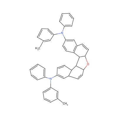 Cc1cccc(N(C2=CC3C=CC4OC5C=Cc6cc(N(c7ccccc7)c7cccc(C)c7)ccc6C5C4C3C=C2)c2ccccc2)c1